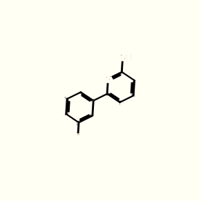 Nc1cccc(-c2cccc(Cl)c2)n1